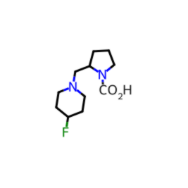 O=C(O)N1CCCC1CN1CCC(F)CC1